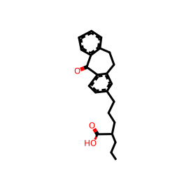 CCCC(CCCc1ccc2c(c1)CCc1ccccc1C2=O)C(=O)O